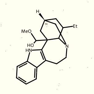 CCC1C[C@@H]2CN3CCc4c([nH]c5ccccc45)C(C(O)OC)(C2)C13